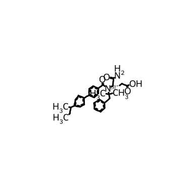 CCC(C)c1ccc(-c2ccc(C(=O)N([C@@H](CCC(=O)O)C(N)=O)C(C)(C)Cc3ccccc3)cc2)cc1